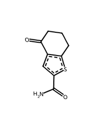 NC(=O)c1cc2c(s1)CCCC2=O